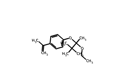 C=C(C)c1ccc(OC(C)(OCC)C(C)(C)C)cc1